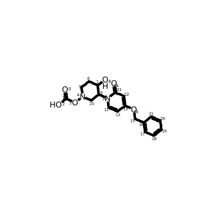 O=C(O)ON1CCC(O)C(n2ccc(OCc3ccccc3)cc2=O)C1